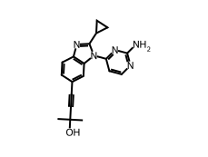 CC(C)(O)C#Cc1ccc2nc(C3CC3)n(-c3ccnc(N)n3)c2c1